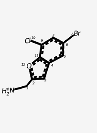 NCc1cc2cc(Br)cc(Cl)c2o1